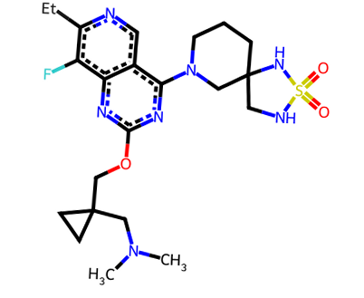 CCc1ncc2c(N3CCCC4(CNS(=O)(=O)N4)C3)nc(OCC3(CN(C)C)CC3)nc2c1F